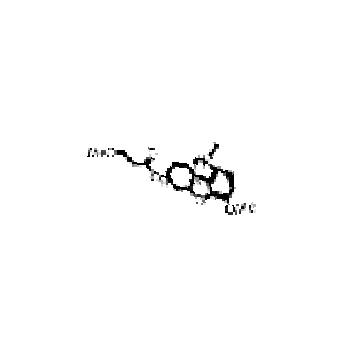 COCCC(=O)O[C@H]1C=C[C@@]23CCN(C)c4ccc(OC)c(c42)OC3C1